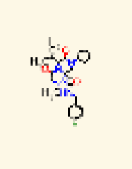 CC(C)[C@H]1C(=O)N(C2CCCC2)C[C@H]2N1C(=O)CN(C)N2C(=O)NCc1ccc(F)cc1